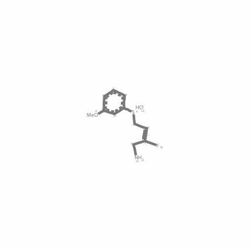 COc1cccc(SC/C=C(/F)CN)c1.Cl